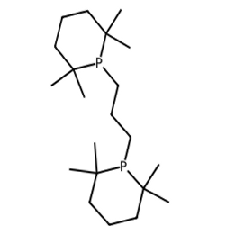 CC1(C)CCCC(C)(C)P1CCCP1C(C)(C)CCCC1(C)C